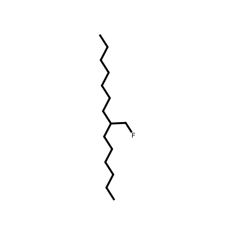 CCCCCCCC(CF)CCCCCC